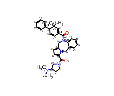 CN(C)[C@@H]1CCN(C(=O)c2ccc3n2Cc2ccccc2N(C(=O)C2=CC(C)(C(F)(F)F)C(c4ccccc4)C=C2)C3)C1